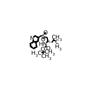 CC(C)C[C@@H](CS(=O)(=O)Cc1cnc2ccccc2c1)NC(=O)OC(C)(C)C